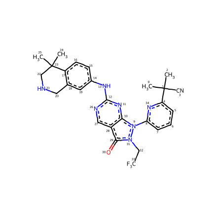 CC(C)(C#N)c1cccc(-n2c3nc(Nc4ccc5c(c4)CNCC5(C)C)ncc3c(=O)n2CC(F)(F)F)n1